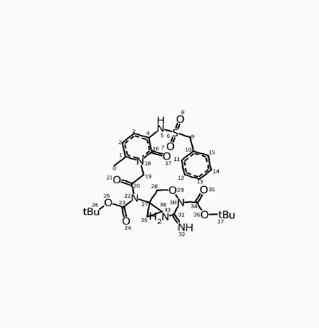 Cc1ccc(NS(=O)(=O)Cc2ccccc2)c(=O)n1CC(=O)N(C(=O)OC(C)(C)C)C1(CON(C(=N)N)C(=O)OC(C)(C)C)CC1